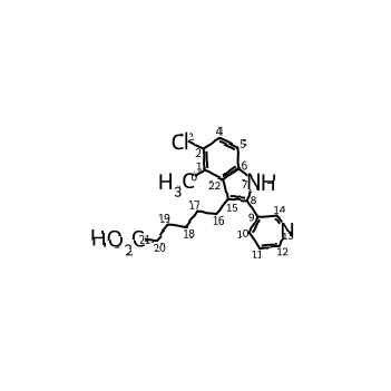 Cc1c(Cl)ccc2[nH]c(-c3cccnc3)c(CCCCCC(=O)O)c12